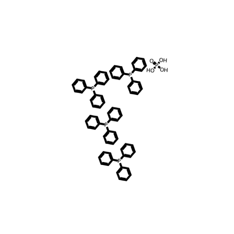 O=P(O)(O)O.c1ccc(P(c2ccccc2)c2ccccc2)cc1.c1ccc(P(c2ccccc2)c2ccccc2)cc1.c1ccc(P(c2ccccc2)c2ccccc2)cc1.c1ccc(P(c2ccccc2)c2ccccc2)cc1